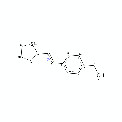 OCc1ccc(/C=C/C2CCCS2)cc1